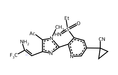 CCS(=N)(=O)c1cc(C2(C#N)CC2)cnc1-c1nc(/C=C(\N)C(F)(F)F)c(C(C)=O)n1C